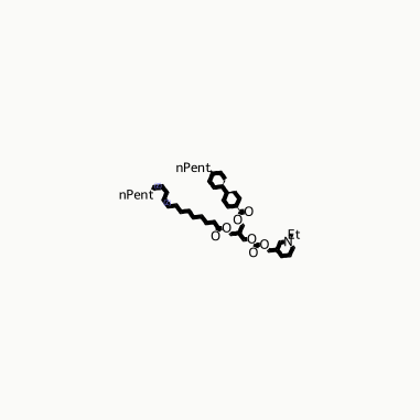 CCCCC/C=C\C/C=C\CCCCCCCC(=O)OCC(COC(=O)OCC1CCCN(CC)C1)COC(=O)[C@H]1CC[C@H]([C@H]2CC[C@H](CCCCC)CC2)CC1